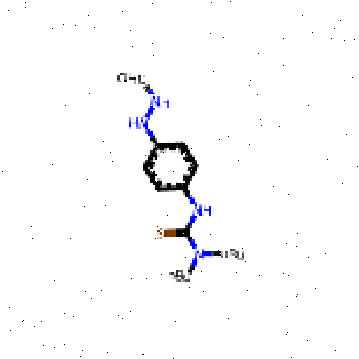 CCCCN(CCCC)C(=S)Nc1ccc(NNC=O)cc1